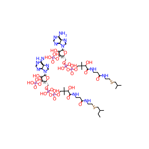 CC(C)CSCCNC(=O)CCNC(=O)C(O)C(C)(C)COP(=O)(O)OP(=O)(O)OC[C@H]1O[C@@H](n2cnc3c(N)ncnc32)[C@H](O)[C@@H]1OP(=O)(O)O.CCC(C)CSCCNC(=O)CCNC(=O)C(O)C(C)(C)COP(=O)(O)OP(=O)(O)OC[C@H]1O[C@@H](n2cnc3c(N)ncnc32)[C@H](O)[C@@H]1OP(=O)(O)O